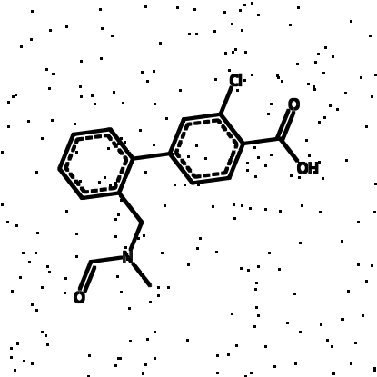 CN(C=O)Cc1ccccc1-c1ccc(C(=O)O)c(Cl)c1